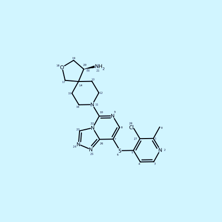 Cc1nccc(Sc2cnc(N3CCC4(CC3)COC[C@H]4N)n3cnnc23)c1Cl